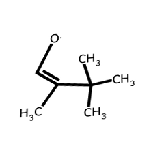 CC(=C[O])C(C)(C)C